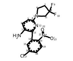 Nc1ccc(N2CCC(F)(F)C2)nc1-c1cc(Cl)ccc1[N+](=O)[O-]